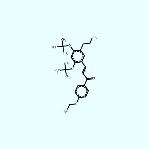 CCCc1cc(/C=C/C(=O)c2ccc(OCC)cc2)c(OC(C)(C)C)cc1OC(C)(C)C